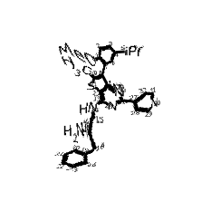 COc1ccc(C(C)C)cc1-c1c(C)sc2c(NC[C@@H](N)Cc3ccccc3)nc(-c3ccncc3)nc12